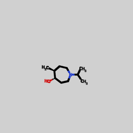 CC(C)N1CC[C@H](C)[C@@H](O)CC1